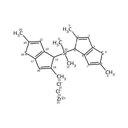 CC1=Cc2sc(C)cc2C1[Si](C)(C)C1C(C)=Cc2sc(C)cc21.[Cl-].[Cl-].[Zr+2]